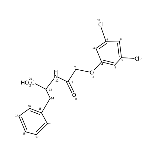 O=C(COc1cc(Cl)cc(Cl)c1)NC(Cc1ccccc1)C(=O)O